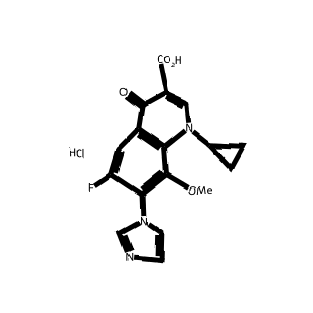 COc1c(-n2ccnc2)c(F)cc2c(=O)c(C(=O)O)cn(C3CC3)c12.Cl